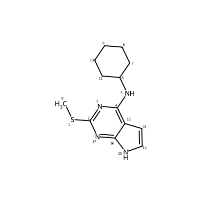 CSc1nc(NC2CCCCC2)c2cc[nH]c2n1